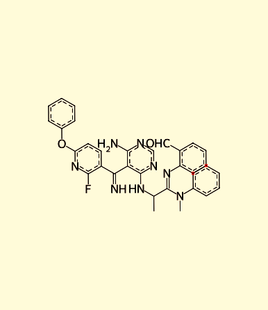 CC(Nc1ncnc(N)c1C(=N)c1ccc(Oc2ccccc2)nc1F)/C(=N/c1ccccc1C=O)N(C)c1ccccc1